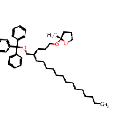 CCCCCCCCCCCCCCC(CCCOC1(C)CCCO1)COC(c1ccccc1)(c1ccccc1)c1ccccc1